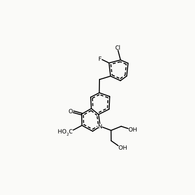 O=C(O)c1cn(C(CO)CO)c2ccc(Cc3cccc(Cl)c3F)cc2c1=O